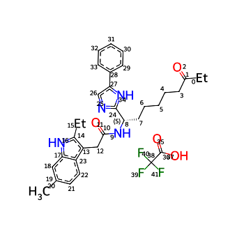 CCC(=O)CCCCC[C@H](NC(=O)Cc1c(CC)[nH]c2cc(C)ccc12)c1ncc(-c2ccccc2)[nH]1.O=C(O)C(F)(F)F